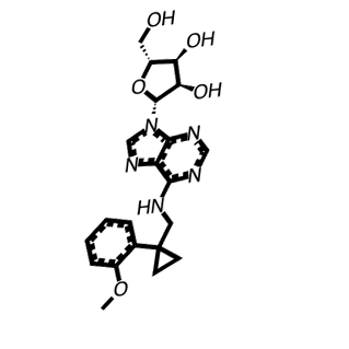 COc1ccccc1C1(CNc2ncnc3c2ncn3[C@@H]2O[C@H](CO)[C@@H](O)[C@H]2O)CC1